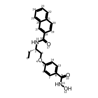 CC[C@@H](COc1ccc(C(=O)NO)cc1)NC(=O)c1ccc2ccccc2c1